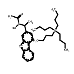 CC(c1ccc2c(c1)oc1ccccc12)N(O)C(N)=O.CCCC[N+](CCCC)(CCCC)CCCC